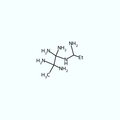 CCC(N)NC(N)(N)C(C)(N)N